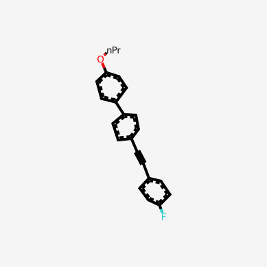 CCCOc1ccc(-c2ccc(C#Cc3ccc(F)cc3)cc2)cc1